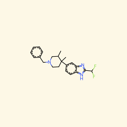 CC1CN(Cc2ccccc2)CCC1(C)c1ccc2[nH]c(C(F)F)nc2c1